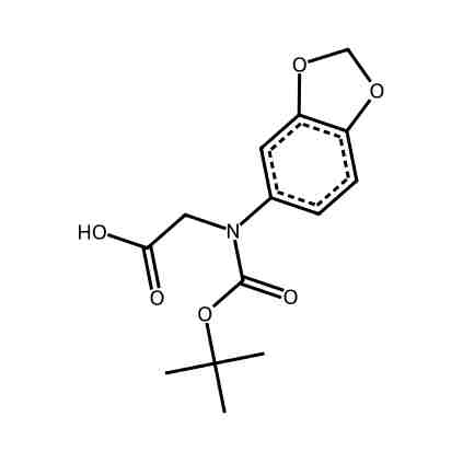 CC(C)(C)OC(=O)N(CC(=O)O)c1ccc2c(c1)OCO2